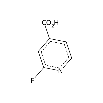 O=C(O)c1[c]cnc(F)c1